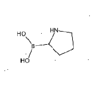 OB(O)C1CCCN1